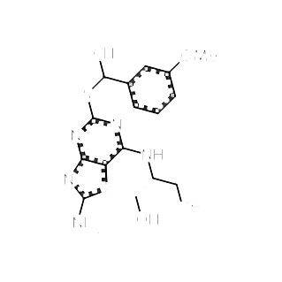 COc1cccc(C(C)Sc2nc(N[C@@H](CO)CC(C)C)c3sc(N)nc3n2)c1